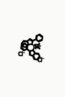 C[Si](C)=[Ti+2]([CH]1C(c2ccccc2)=Cc2ccccc21)[CH]1C(c2ccccc2)=Cc2ccccc21.[Cl-].[Cl-]